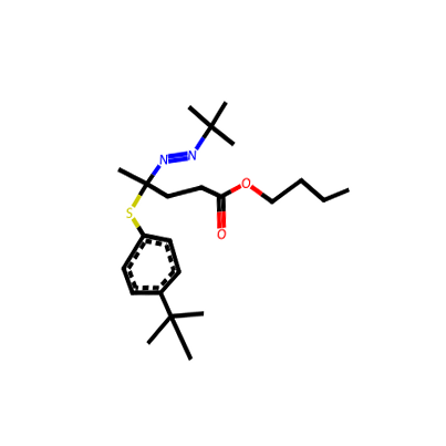 CCCCOC(=O)CCC(C)(N=NC(C)(C)C)Sc1ccc(C(C)(C)C)cc1